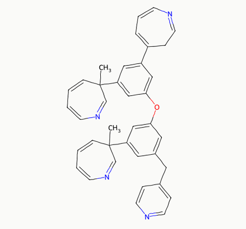 CC1(c2cc(Cc3ccncc3)cc(Oc3cc(C4=CC=CN=CC4)cc(C4(C)C=CC=CN=C4)c3)c2)C=CC=CN=C1